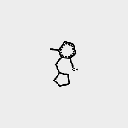 Cc1cccc(O)c1CC1CCCC1